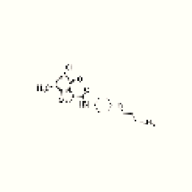 CCCCOC1CCC(NC(=O)c2coc3c(C)cn(C)c(=O)c23)CC1